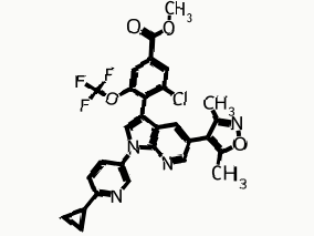 COC(=O)c1cc(Cl)c(-c2cn(-c3ccc(C4CC4)nc3)c3ncc(-c4c(C)noc4C)cc23)c(OC(F)(F)F)c1